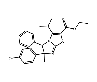 CCOC(=O)C1=C(C(C)C)N2C(=NC(C)(c3ccc(Cl)cc3)C2c2ccccc2)S1